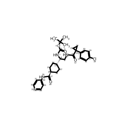 CC(C)(C)OC(=O)NC(CNC(=O)C1(c2ccc(Cl)cc2)CC1)[C@H]1CC[C@H](C(=O)Nc2ccncc2)CC1